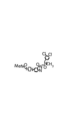 CNC(=O)CN1CCN(c2ccc3ncn(CC(=O)N(C)Cc4ccc(Cl)c(Cl)c4)c(=O)c3c2)CC1